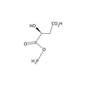 O=C(O)C[C@H](O)C(=O)OP